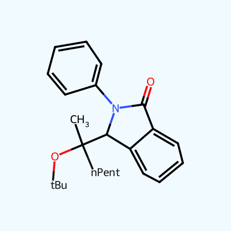 CCCCCC(C)(OC(C)(C)C)C1c2ccccc2C(=O)N1c1ccccc1